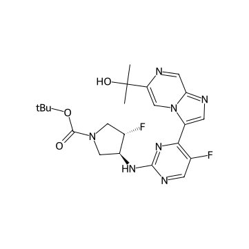 CC(C)(C)OC(=O)N1C[C@H](Nc2ncc(F)c(-c3cnc4cnc(C(C)(C)O)cn34)n2)[C@@H](F)C1